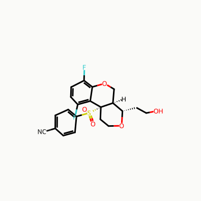 N#Cc1ccc(S(=O)(=O)[C@@]23CCO[C@@H](CCO)[C@@H]2COc2c(F)ccc(F)c23)cc1